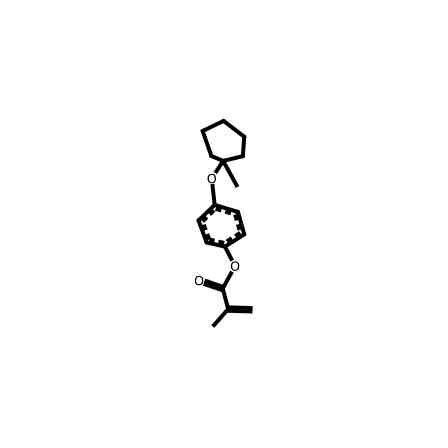 C=C(C)C(=O)Oc1ccc(OC2(C)CCCCC2)cc1